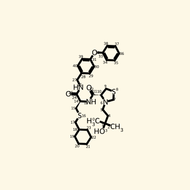 CC(C)(O)CCN1CSC[C@H]1C(=O)N[C@@H](CSCC1CCCCC1)C(=O)NCc1ccc(Oc2ccccc2)cc1